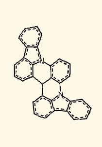 c1cc2c3c(c1)-n1c4ccccc4c4cccc(c41)C3c1cccc3c4ccccc4n-2c13